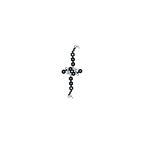 CCCCCC1CCC(c2ccc(-c3ccc(Sc4ccc(NC(=O)c5ccccc5)c5c4C(=O)c4c(NC(=O)c6ccccc6)ccc(Sc6ccc(-c7ccc(C8CCC(CCCCC)CC8)cc7)cc6)c4C5=O)cc3)cc2)CC1